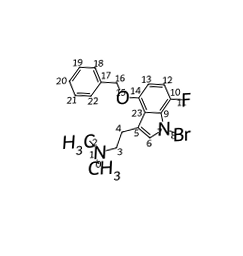 CN(C)CCc1cn(Br)c2c(F)ccc(OCc3ccccc3)c12